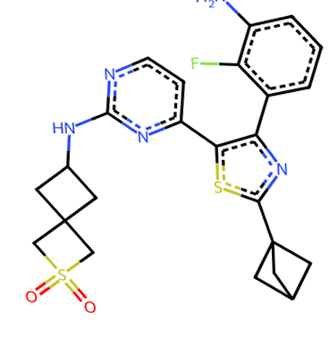 Nc1cccc(-c2nc(C34CC(C3)C4)sc2-c2ccnc(NC3CC4(C3)CS(=O)(=O)C4)n2)c1F